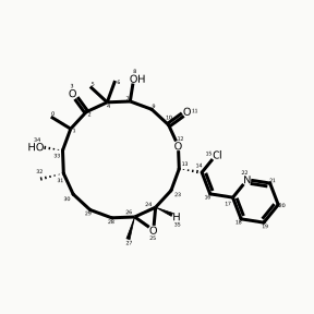 CC1C(=O)C(C)(C)C(O)CC(=O)O[C@H](C(Cl)=Cc2ccccn2)C[C@@H]2O[C@]2(C)CCC[C@H](C)[C@@H]1O